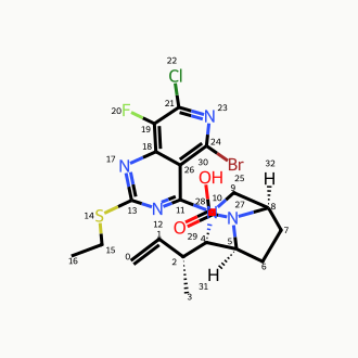 C=C[C@@H](C)[C@H]1[C@@H]2CC[C@H](CN1c1nc(SCC)nc3c(F)c(Cl)nc(Br)c13)N2C(=O)O